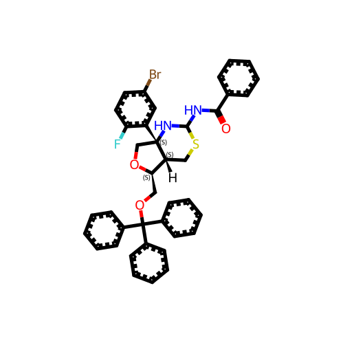 O=C(NC1N[C@@]2(c3cc(Br)ccc3F)CO[C@H](COC(c3ccccc3)(c3ccccc3)c3ccccc3)[C@H]2CS1)c1ccccc1